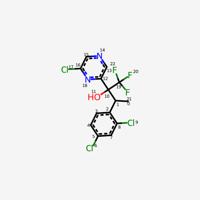 CC(c1ccc(Cl)cc1Cl)C(O)(c1cncc(Cl)n1)C(F)(F)F